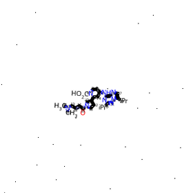 CC(C)c1nc(NC2CCN(C(=O)O)C(C3CCN(C(=O)/C=C/CN(C)C)C3)C2)c2ncc(C(C)C)n2n1